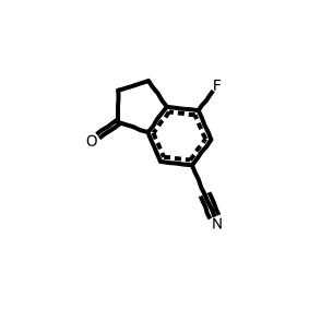 N#Cc1cc(F)c2c(c1)C(=O)CC2